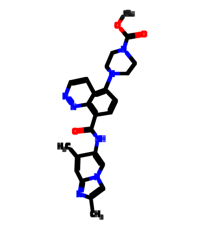 Cc1cn2cc(NC(=O)c3ccc(N4CCN(C(=O)OC(C)(C)C)CC4)c4ccnnc34)c(C)cc2n1